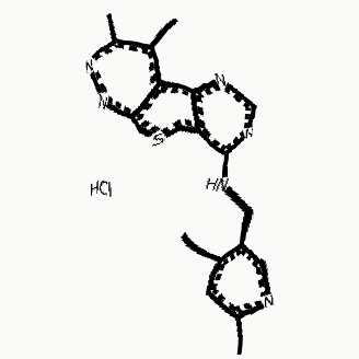 Cc1cc(C)c(CNc2ncnc3c2sc2nnc(C)c(C)c23)cn1.Cl